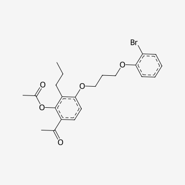 CCCc1c(OCCCOc2ccccc2Br)ccc(C(C)=O)c1OC(C)=O